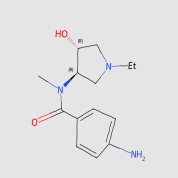 CCN1C[C@@H](O)[C@H](N(C)C(=O)c2ccc(N)cc2)C1